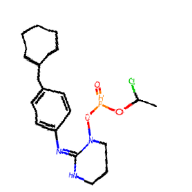 CC(Cl)O[PH](=O)ON1CCCNC1=Nc1ccc(C2CCCCC2)cc1